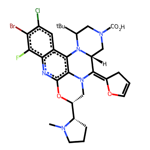 CN1CCC[C@H]1[C@H]1CN2C(=C3CC=CO3)[C@H]3CN(C(=O)O)CC(C(C)(C)C)N3c3c2c(nc2c(F)c(Br)c(Cl)cc32)O1